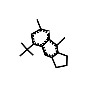 Cc1cc(C(C)(C)C)c2cc3c(c(C)c2n1)CCC3